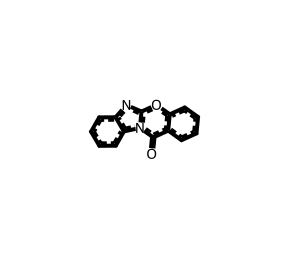 O=c1c2ccccc2oc2nc3ccccc3n12